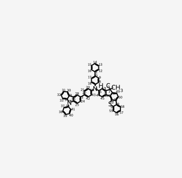 CC1(C)c2cc(N(c3ccc(-c4ccccc4)cc3)c3ccc(-c4ccc5c(c4)c4ccccc4n5-c4ccccc4)cc3)ccc2-c2c1ccc1c2sc2ccccc21